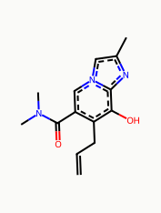 C=CCc1c(C(=O)N(C)C)cn2cc(C)nc2c1O